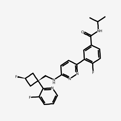 CC(C)NC(=O)c1ccc(F)c(-c2ccc(NC[C@]3(c4ncccc4F)C[C@H](F)C3)nn2)c1